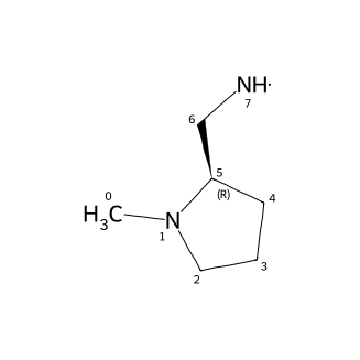 CN1CCC[C@@H]1C[NH]